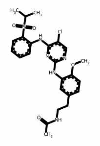 COc1ccc(CCNC(C)=O)cc1Nc1ncc(Cl)c(Nc2ccccc2S(=O)(=O)C(C)C)n1